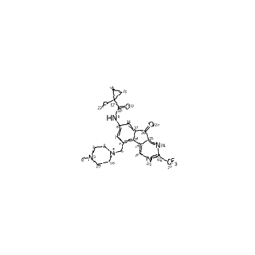 CN1CCN(Cc2cc(NC(=O)C3(F)CC3)cc3c2-c2cnc(C(F)(F)F)nc2C3=O)CC1